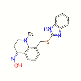 CCN1CC/C(=N/O)c2cccc(CSc3nc4ccccc4[nH]3)c21